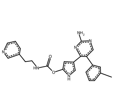 Cc1cccc(-c2cnc(N)nc2-c2c[nH]c(OC(=O)NCCc3cccnc3)c2)c1